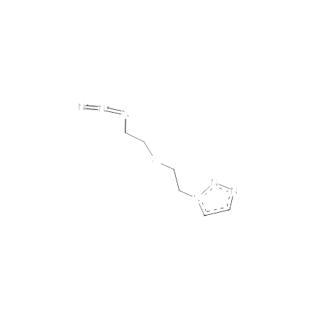 [N-]=[N+]=NCCOCCn1ccnn1